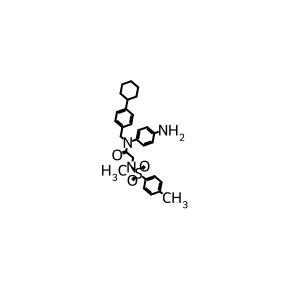 Cc1ccc(S(=O)(=O)N(C)CC(=O)N(Cc2ccc(C3CCCCC3)cc2)c2ccc(N)cc2)cc1